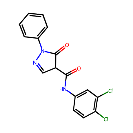 O=C(Nc1ccc(Cl)c(Cl)c1)C1C=NN(c2ccccc2)C1=O